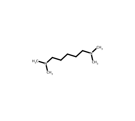 CN(C)C[CH]CCCN(C)C